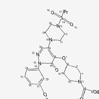 CC(C)COC(=O)N1CCC(Oc2c(N3CCN(S(=O)(=O)C(C)C)CC3)cnn(-c3cccc(Cl)c3)c2=O)CC1